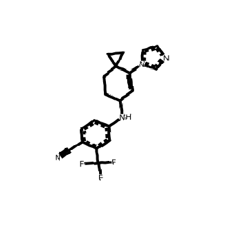 N#Cc1ccc(NC2C=C(n3ccnc3)C3(CC2)CC3)cc1C(F)(F)F